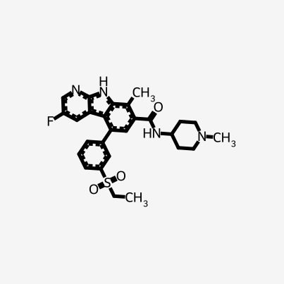 CCS(=O)(=O)c1cccc(-c2cc(C(=O)NC3CCN(C)CC3)c(C)c3[nH]c4ncc(F)cc4c23)c1